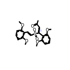 COc1cccc(OC)c1C=CS(=O)(=O)/C(=C\C(C)=O)c1c(OC)cccc1OC